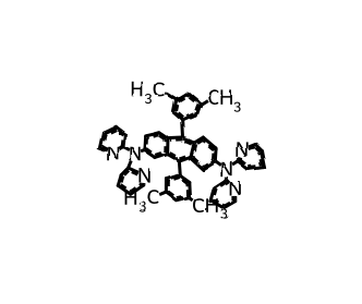 Cc1cc(C)cc(-c2c3ccc(N(c4ccccn4)c4ccccn4)cc3c(-c3cc(C)cc(C)c3)c3cc(N(c4ccccn4)c4ccccn4)ccc23)c1